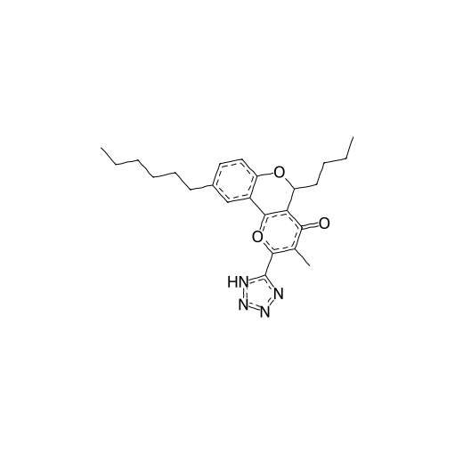 CCCCCCc1ccc2c(c1)-c1oc(-c3nnn[nH]3)c(C)c(=O)c1C(CCCC)O2